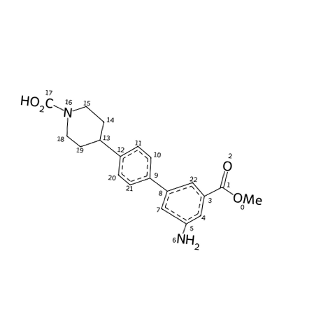 COC(=O)c1cc(N)cc(-c2ccc(C3CCN(C(=O)O)CC3)cc2)c1